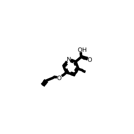 C#CCOc1cnc(C(=O)O)c(C)c1